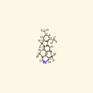 CC(C)c1cc(C(C)(C)C)c2c(c1)C(C)(C)c1c(CC(C)c3cncc(C(C)(C)C)c3)cccc1-2